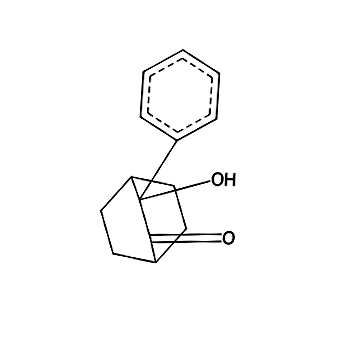 O=C1C2CCC(CC2)C1(O)c1ccccc1